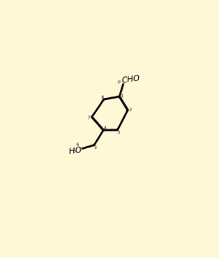 O=CC1CCC(CO)CC1